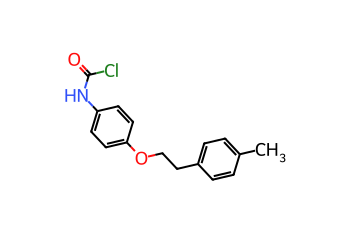 Cc1ccc(CCOc2ccc(NC(=O)Cl)cc2)cc1